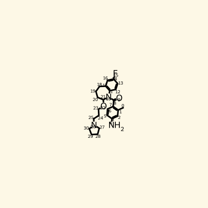 Cc1cc(N)ccc1C(=O)N1c2ccc(F)cc2CCCC1OCCCN1CCCC1